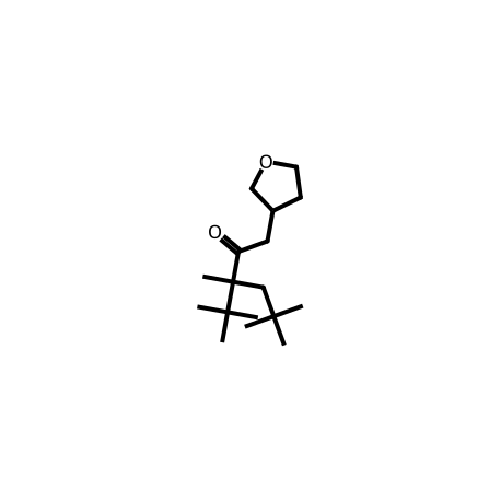 CC(C)(C)CC(C)(C(=O)CC1CCOC1)C(C)(C)C